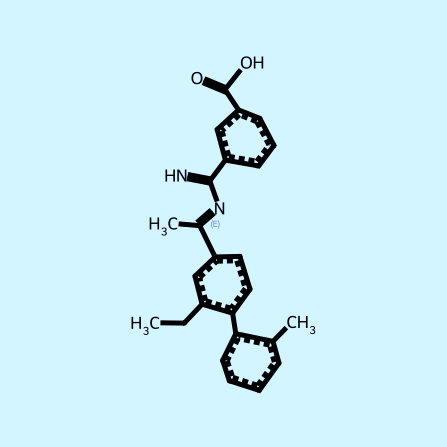 CCc1cc(/C(C)=N/C(=N)c2cccc(C(=O)O)c2)ccc1-c1ccccc1C